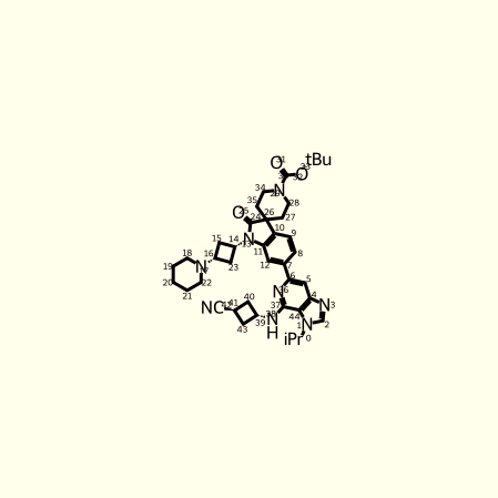 CC(C)n1cnc2cc(-c3ccc4c(c3)N([C@H]3C[C@@H](N5CCCCC5)C3)C(=O)C43CCN(C(=O)OC(C)(C)C)CC3)nc(N[C@H]3C[C@H](C#N)C3)c21